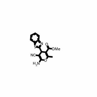 COC(=O)C1=C(C)OC(N)=C(C#N)C1c1nc2ccccc2s1